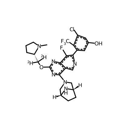 [2H]C([2H])(Oc1nc(N2C[C@H]3CC[C@@H](C2)N3)c2cnc(-c3cc(O)cc(Cl)c3C(F)(F)F)c(F)c2n1)[C@@H]1CCCN1C